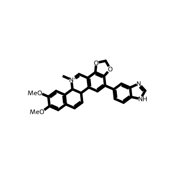 COc1cc2c(cc1OC)C1C(C=C2)c2cc(-c3ccc4[nH]cnc4c3)c3c(c2C=[N+]1C)OCO3